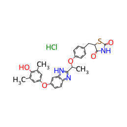 Cc1cc(Oc2ccc3nc(C(C)Oc4ccc(CC5SC(=O)NC5=O)cc4)[nH]c3c2)cc(C)c1O.Cl